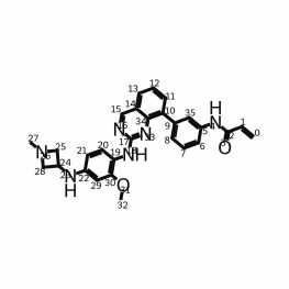 C=CC(=O)Nc1cccc(-c2cccc3cnc(Nc4ccc(NC5CN(C)C5)cc4OC)nc23)c1